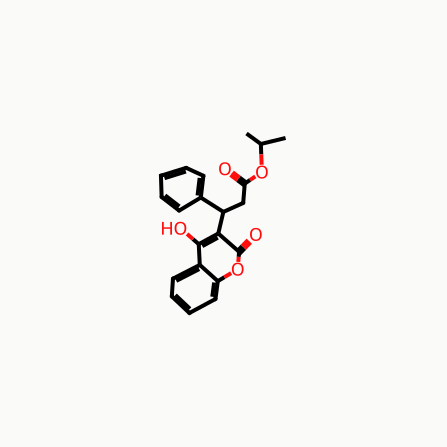 CC(C)OC(=O)CC(c1ccccc1)c1c(O)c2ccccc2oc1=O